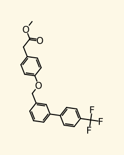 COC(=O)Cc1ccc(OCc2cccc(-c3ccc(C(F)(F)F)cc3)c2)cc1